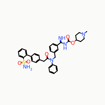 CN1CCC(OC(=O)NC(=N)c2cccc(CN(C(=O)Cc3ccc(-c4ccccc4S(N)(=O)=O)cc3)c3ccccc3)c2)CC1